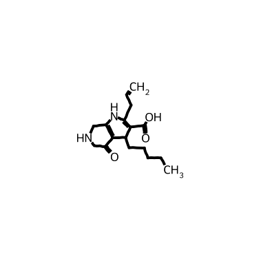 C=CCC1=C(C(=O)O)C(CCCCC)C2=C(CNCC2=O)N1